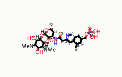 C=N/C(=C\c1ccc(COP(=O)(O)O)cc1C)CC(=O)N[C@@H]1C[C@@H](C)O[C@H]2O[C@@H]3[C@@H](O)[C@H](NC)[C@H](O)[C@H](NC)[C@H]3O[C@]21O